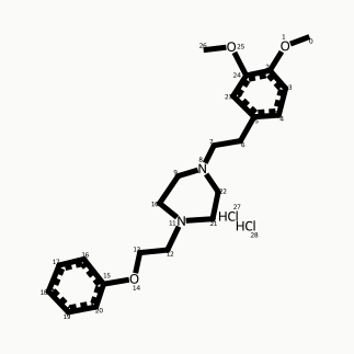 COc1ccc(CCN2CCN(CCOc3ccccc3)CC2)cc1OC.Cl.Cl